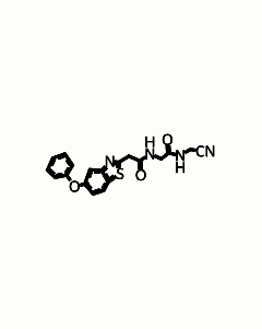 N#CCNC(=O)CNC(=O)Cc1nc2cc(Oc3ccccc3)ccc2s1